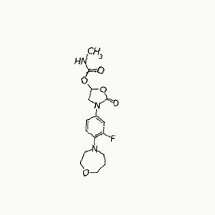 CNC(=O)OC1CN(c2ccc(N3CCCOCC3)c(F)c2)C(=O)O1